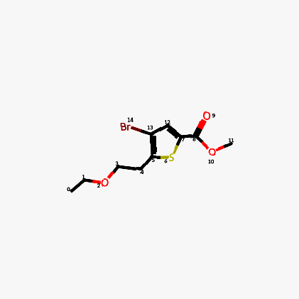 CCOCCc1sc(C(=O)OC)cc1Br